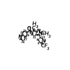 C[C@H]1c2nn(C)c(-c3ccc(C(F)(F)F)nc3)c2CCN1C(=O)c1ccc2ncccc2c1